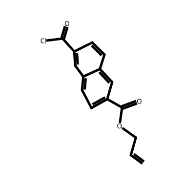 C=CCOC(=O)c1ccc2cc(C(=O)Cl)ccc2c1